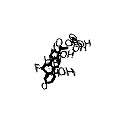 C[C@@H]1C[C@H]2[C@@H]3CC(F)C4=CC(=O)C=C[C@]4(C)[C@H]3C(O)C[C@]2(C)[C@@]1(O)C(=O)COP(=O)(O)O